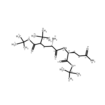 CC(C)(C)OC(=O)C(C[C@H](N)C(=O)N[C@@H](CCC(N)=O)C(=O)OC(C)(C)C)C(C)(C)C